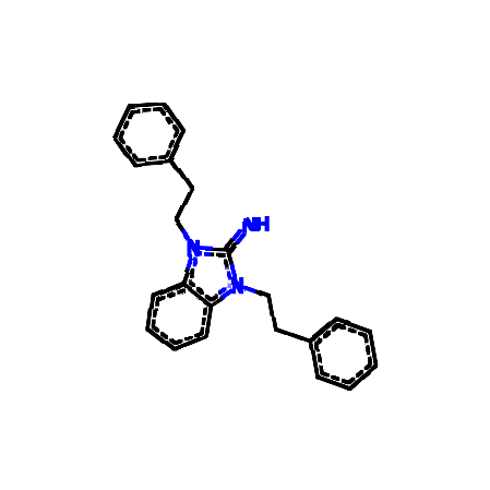 N=c1n(CCc2ccccc2)c2ccccc2n1CCc1ccccc1